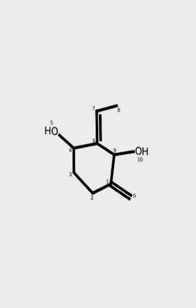 C=C1CCC(O)C(=CC)C1O